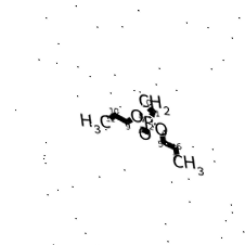 C=CP(=O)(OCCC)OCCC